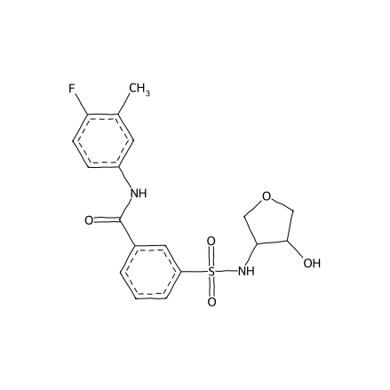 Cc1cc(NC(=O)c2cccc(S(=O)(=O)NC3COCC3O)c2)ccc1F